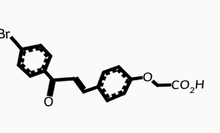 O=C(O)COc1ccc(/C=C/C(=O)c2ccc(Br)cc2)cc1